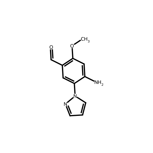 COc1cc(N)c(-n2cccn2)cc1C=O